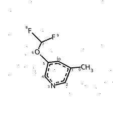 Cc1cn[c]c(OC(F)F)c1